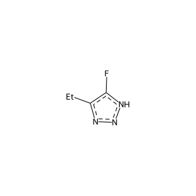 CCc1nn[nH]c1F